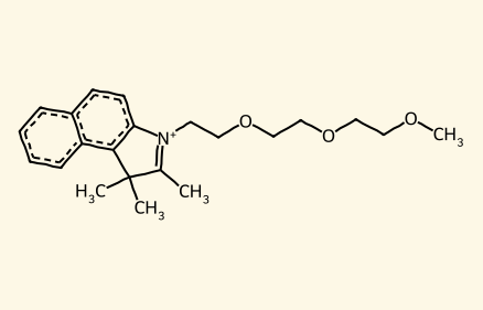 COCCOCCOCC[N+]1=C(C)C(C)(C)c2c1ccc1ccccc21